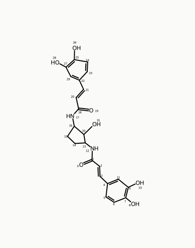 O=C(C=Cc1ccc(O)c(O)c1)NC1CCC(NC(=O)C=Cc2ccc(O)c(O)c2)C1O